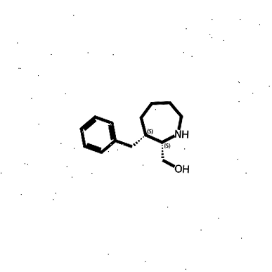 OC[C@H]1NCCCC[C@H]1Cc1ccccc1